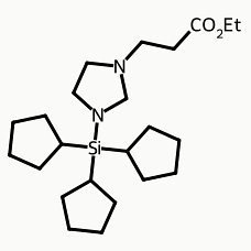 CCOC(=O)CCN1CCN([Si](C2CCCC2)(C2CCCC2)C2CCCC2)C1